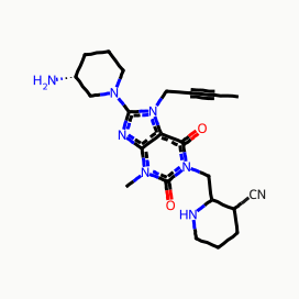 CC#CCn1c(N2CCC[C@@H](N)C2)nc2c1c(=O)n(CC1NCCCC1C#N)c(=O)n2C